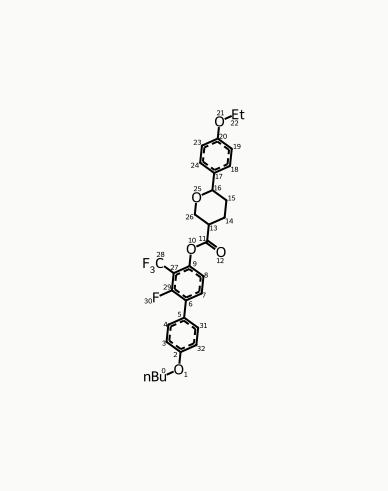 CCCCOc1ccc(-c2ccc(OC(=O)C3CCC(c4ccc(OCC)cc4)OC3)c(C(F)(F)F)c2F)cc1